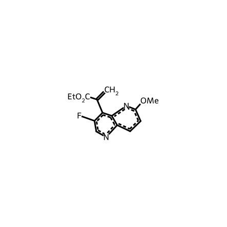 C=C(C(=O)OCC)c1c(F)cnc2ccc(OC)nc12